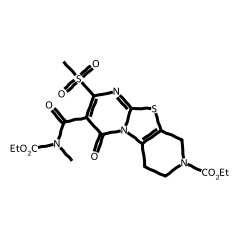 CCOC(=O)N1CCc2c(sc3nc(S(C)(=O)=O)c(C(=O)N(C)C(=O)OCC)c(=O)n23)C1